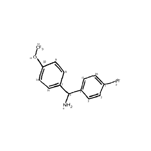 CC(C)c1ccc(C(N)c2ccc(OC(F)(F)F)cc2)cc1